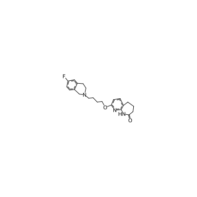 O=C1CCCc2ccc(OCCCCN3CCc4cc(F)ccc4C3)nc2N1